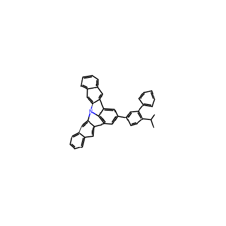 CC(C)c1ccc(-c2cc3c4cc5ccccc5cc4n4c5cc6ccccc6cc5c(c2)c34)cc1-c1ccccc1